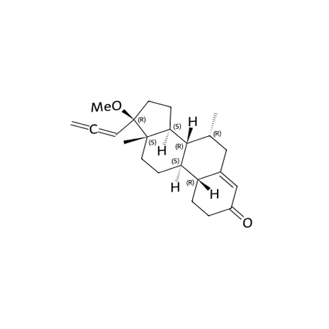 C=C=C[C@]1(OC)CC[C@H]2[C@H]3[C@H](CC[C@@]21C)[C@H]1CCC(=O)C=C1C[C@H]3C